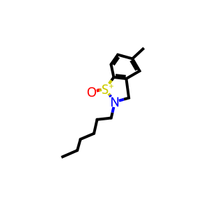 CCCCCCN1Cc2cc(C)ccc2[S+]1[O-]